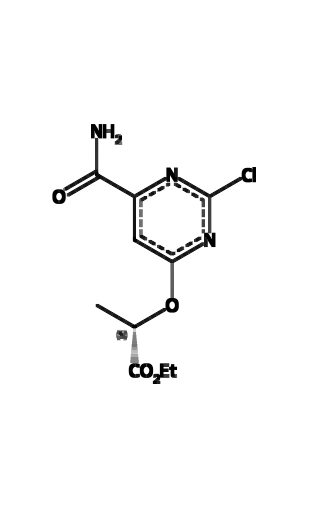 CCOC(=O)[C@H](C)Oc1cc(C(N)=O)nc(Cl)n1